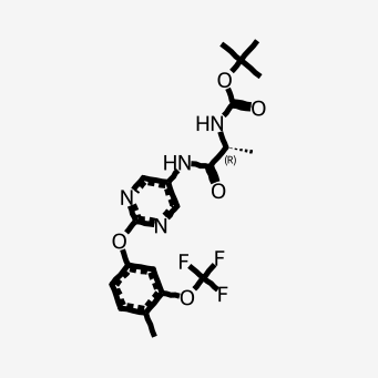 Cc1ccc(Oc2ncc(NC(=O)[C@@H](C)NC(=O)OC(C)(C)C)cn2)cc1OC(F)(F)F